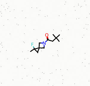 CC(C)(C)CC(=O)N1CC2(C1)CC2(C)F